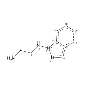 NCCNn1ncc2ccccc21